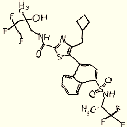 C[C@H](NS(=O)(=O)c1ccc(-c2sc(C(=O)NCC(C)(O)C(F)(F)F)nc2CC2CCC2)c2ccccc12)C(F)(F)F